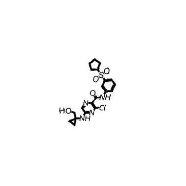 O=C(Nc1cccc(S(=O)(=O)C2CCCC2)c1)c1ncc(NC2(CO)CC2)nc1Cl